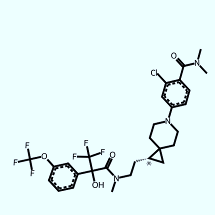 CN(C)C(=O)c1ccc(N2CCC3(CC2)C[C@@H]3CCN(C)C(=O)C(O)(c2cccc(OC(F)(F)F)c2)C(F)(F)F)cc1Cl